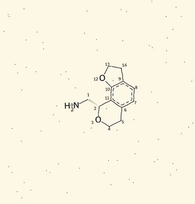 NC[C@H]1OCCc2ccc3c(c21)OCC3